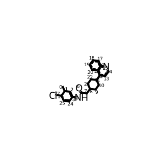 CC1C=C(NC(=O)CC2CCC(c3ccnc4ccccc34)CC2)C=CC1Cl